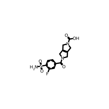 NS(=O)(=O)c1ccc(C(=O)N2CC3=C(CN(C(=O)O)C3)C2)cc1F